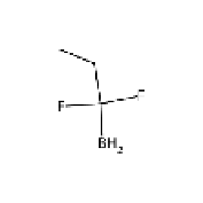 BC(F)(F)CC